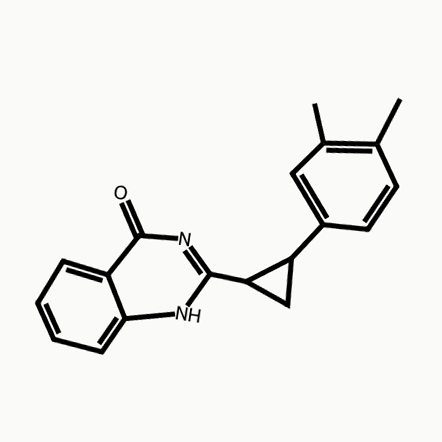 Cc1ccc(C2CC2c2nc(=O)c3ccccc3[nH]2)cc1C